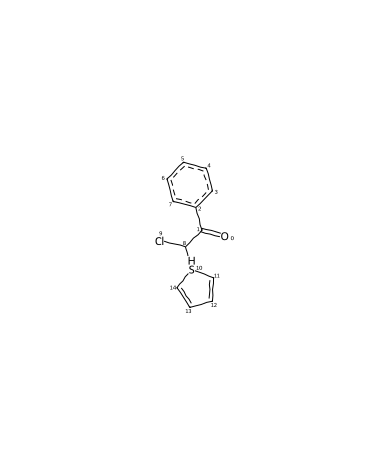 O=C(c1ccccc1)C(Cl)[SH]1C=CC=C1